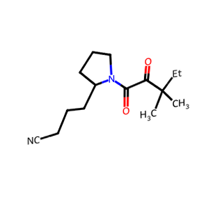 CCC(C)(C)C(=O)C(=O)N1CCCC1CCCC#N